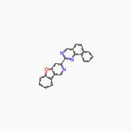 c1ccc2c(c1)ccc1cnc(-c3cc4oc5ccccc5c4cn3)nc12